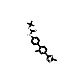 Cc1nc(-c2ccc(-c3ccc(NC(=O)OC(C)(C)C)cc3)c(C)c2)no1